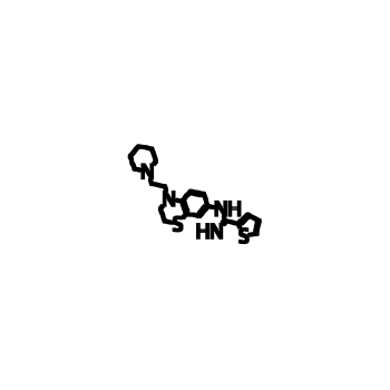 N=C(Nc1ccc2c(c1)SCCN2CCN1CCCCC1)c1cccs1